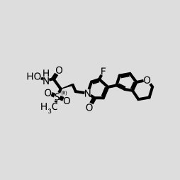 CS(=O)(=O)[C@H](CCn1cc(F)c(-c2ccc3c(c2)CCCO3)cc1=O)C(=O)NO